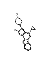 CCN1CCN(c2cc3c(cc2F)c2nc4ccccc4c-2cn3C2CC2)CC1